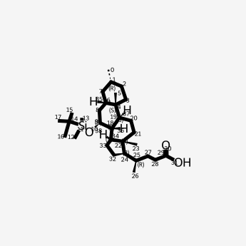 C[C@@H]1CC[C@@]2(C)[C@@H](C1)C[C@@H](O[Si](C)(C)C(C)(C)C)[C@@H]1[C@@H]2CC[C@]2(C)[C@@H]([C@H](C)CCC(=O)O)CC[C@@H]12